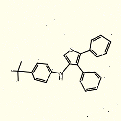 CC(C)(C)c1ccc(Nc2csc(-c3ccccc3)c2-c2ccccc2)cc1